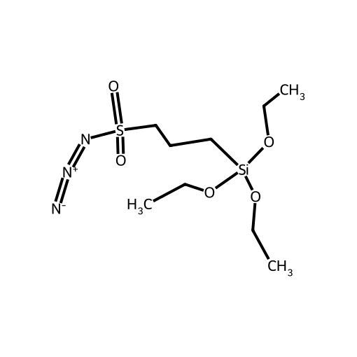 CCO[Si](CCCS(=O)(=O)N=[N+]=[N-])(OCC)OCC